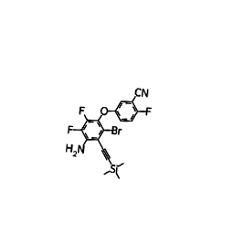 C[Si](C)(C)C#Cc1c(N)c(F)c(F)c(Oc2ccc(F)c(C#N)c2)c1Br